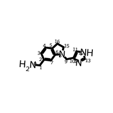 NCc1ccc2c(c1)N(Cc1c[nH]cn1)CC2